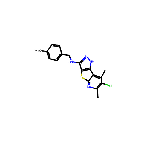 COc1ccc(CNc2n[nH]c3c2sc2nc(C)c(Cl)c(C)c23)cc1